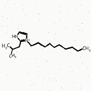 CCCCCCCCCC[n+]1cc[nH]c1CC(C)C